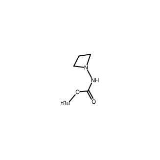 CC(C)(C)OC(=O)NN1CCC1